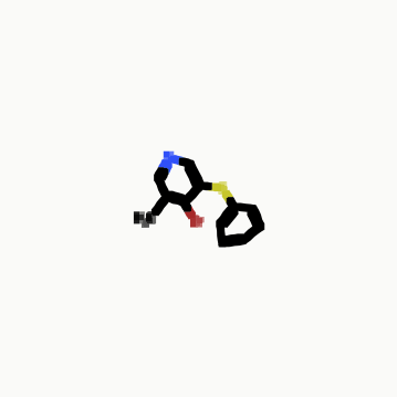 Cc1cncc(Sc2ccccc2)c1Br